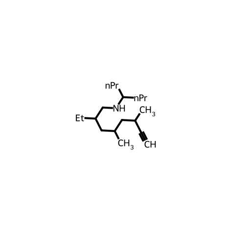 C#CC(C)CC(C)CC(CC)CNC(CCC)CCC